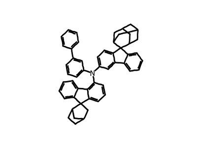 c1ccc(-c2cccc(N(c3ccc4c(c3)-c3ccccc3C43C4CC5CC(C4)CC3C5)c3cccc4c3-c3ccccc3C43CC4CCC3C4)c2)cc1